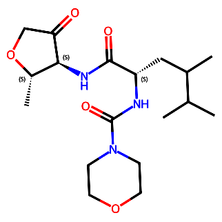 CC(C)C(C)C[C@H](NC(=O)N1CCOCC1)C(=O)N[C@@H]1C(=O)CO[C@H]1C